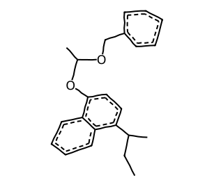 CCC(C)c1ccc(OC(C)OCc2ccccc2)c2ccccc12